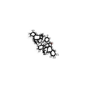 c1ccc2c(c1)[Si]1(c3ccccc3[Si]23c2cccc4c5ccccc5c5cccc3c5c24)c2cccc3c4ccccc4c4cccc1c4c23